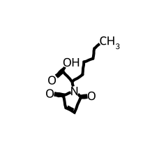 CCCCCC(C(=O)O)N1C(=O)C=CC1=O